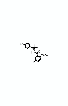 COc1ccc(Cl)cc1C(=O)NC1C(c2ccc(Br)cc2)C1(C)C